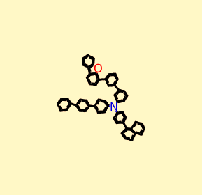 c1ccc(-c2ccc(-c3ccc(N(c4ccc(-c5cccc6ccccc56)cc4)c4cccc(-c5cccc(-c6cccc7c6oc6ccccc67)c5)c4)cc3)cc2)cc1